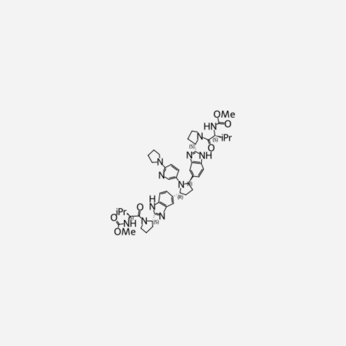 COC(=O)N[C@H](C(=O)N1CCC[C@H]1c1nc2cc([C@H]3CC[C@H](c4ccc5[nH]c([C@@H]6CCCN6C(=O)[C@@H](NC(=O)OC)C(C)C)nc5c4)N3c3ccc(N4CCCC4)nc3)ccc2[nH]1)C(C)C